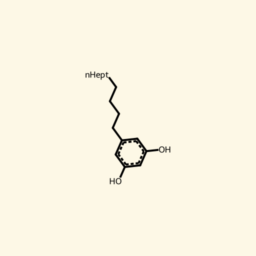 CCCCCCCCCCCc1cc(O)cc(O)c1